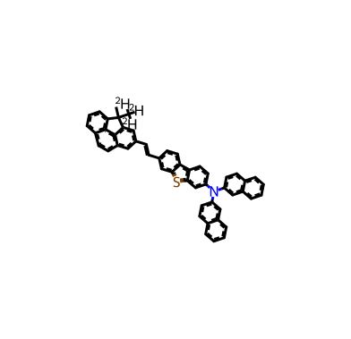 [2H]C([2H])([2H])C1(C)c2cccc3ccc4cc(/C=C/c5ccc6c(c5)sc5cc(N(c7ccc8ccccc8c7)c7ccc8ccccc8c7)ccc56)cc1c4c23